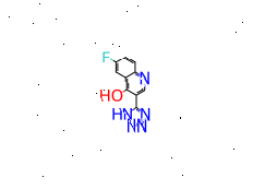 Oc1c(-c2nnn[nH]2)cnc2ccc(F)cc12